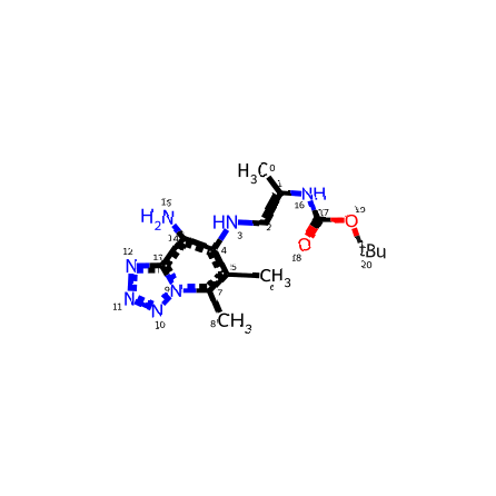 C/C(=C\Nc1c(C)c(C)n2nnnc2c1N)NC(=O)OC(C)(C)C